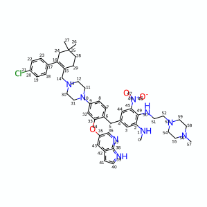 CNc1cc(Cc2ccc(N3CCN(CC4=C(c5ccc(Cl)cc5)CC(C)(C)CC4)CC3)cc2Oc2cnc3[nH]ccc3c2)cc([N+](=O)[O-])c1NCCN1CCN(C)CC1